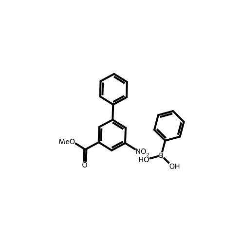 COC(=O)c1cc(-c2ccccc2)cc([N+](=O)[O-])c1.OB(O)c1ccccc1